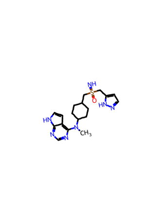 CN(c1ncnc2[nH]ccc12)C1CCC(CS(=N)(=O)Cc2ccn[nH]2)CC1